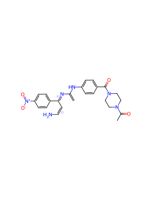 C=C(/N=C(\C=C/N)c1ccc([N+](=O)[O-])cc1)Nc1ccc(C(=O)N2CCN(C(C)=O)CC2)cc1